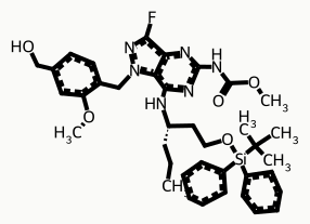 CCC[C@@H](CCO[Si](c1ccccc1)(c1ccccc1)C(C)(C)C)Nc1nc(NC(=O)OC)nc2c(F)nn(Cc3ccc(CO)cc3OC)c12